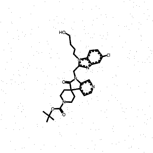 CC(C)(C)OC(=O)N1CCC2(CC1)C(=O)N(Cc1nc3cc(Cl)ccc3n1CCCCO)c1cnccc12